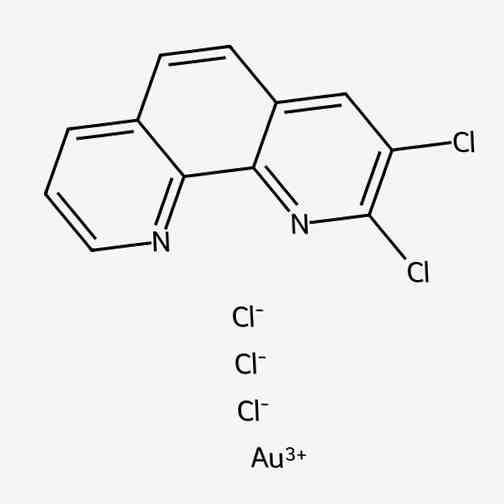 Clc1cc2ccc3cccnc3c2nc1Cl.[Au+3].[Cl-].[Cl-].[Cl-]